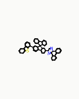 c1ccc2c(c1)-c1ccccc1C21c2cc(-c3cnc4c5ccccc5c5ccccc5c4n3)ccc2-c2ccc(-c3cccc4c3sc3ccccc34)cc21